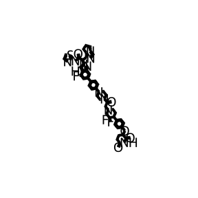 O=C1CCC(Oc2ccc(C3CCN(CC(=O)N4CCN(c5ccc(-c6cc(F)c7cn(C(C(=O)Nc8nccs8)c8ncn9c8CCC9)nc7c6)cc5)CC4)CC3(F)F)cc2)C(=O)N1